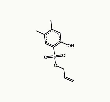 C=CCOS(=O)(=O)c1cc(C)c(C)cc1O